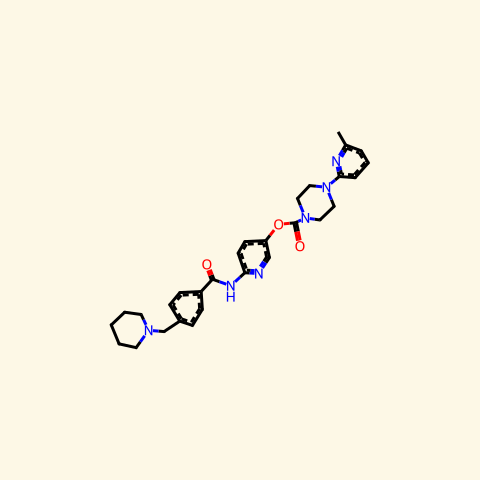 Cc1cccc(N2CCN(C(=O)Oc3ccc(NC(=O)c4ccc(CN5CCCCC5)cc4)nc3)CC2)n1